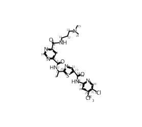 CC(NC(=O)c1cc(C(=O)NCCCN(C)C)ncn1)c1ncc(C(=O)Nc2cc(C(F)(F)F)c(Cl)cn2)s1